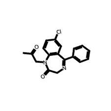 CC(=O)CN1C(=O)CN=C(c2ccccc2)c2cc(Cl)ccc21